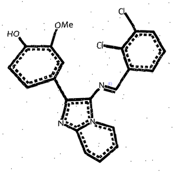 COc1cc(-c2nc3ccccn3c2/N=C/c2cccc(Cl)c2Cl)ccc1O